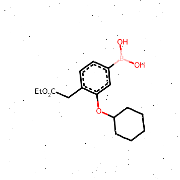 CCOC(=O)Cc1ccc(B(O)O)cc1OC1CCCCC1